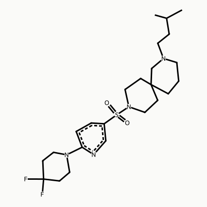 CC(C)CCN1CCCC2(CCN(S(=O)(=O)c3ccc(N4CCC(F)(F)CC4)nc3)CC2)C1